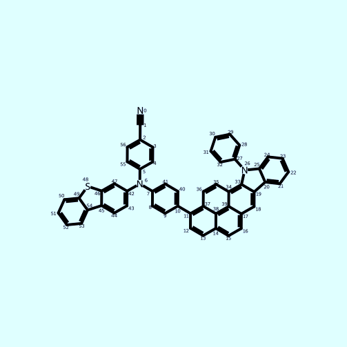 N#Cc1ccc(N(c2ccc(-c3ccc4ccc5cc6c7ccccc7n(-c7ccccc7)c6c6ccc3c4c56)cc2)c2ccc3c(c2)sc2ccccc23)cc1